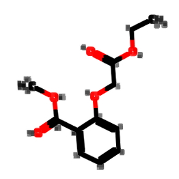 CCOC(=O)COc1ccccc1C(=O)OC